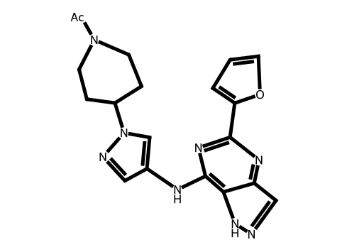 CC(=O)N1CCC(n2cc(Nc3nc(-c4ccco4)nc4cn[nH]c34)cn2)CC1